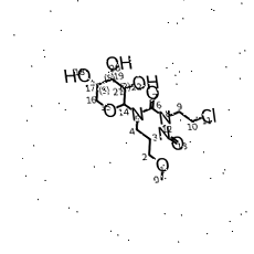 COCCCN(C(=O)N(CCCl)N=O)C1OC[C@H](O)[C@H](O)[C@H]1O